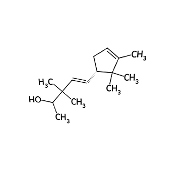 CC1=CC[C@@H](/C=C/C(C)(C)C(C)O)C1(C)C